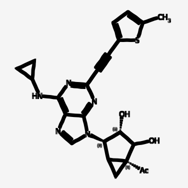 CC(=O)[C@]12CC1[C@@H](n1cnc3c(NC4CC4)nc(C#Cc4ccc(C)s4)nc31)[C@H](O)C2O